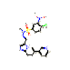 CN(/N=C/c1cnc2ccc(-c3cccnc3)cn12)S(=O)(=O)c1ccc(Cl)c([N+](=O)[O-])c1